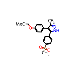 COCOc1ccc(-c2c(C(F)(F)F)n[nH]c2-c2ccc(S(C)(=O)=O)cc2)cc1